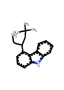 CCC(CC(C)(C)C)c1cccc2[nH]c3ccccc3c12